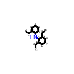 CCc1ccccc1Nc1c(CC)cccc1CC